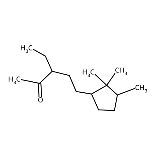 CCC(CCC1CCC(C)C1(C)C)C(C)=O